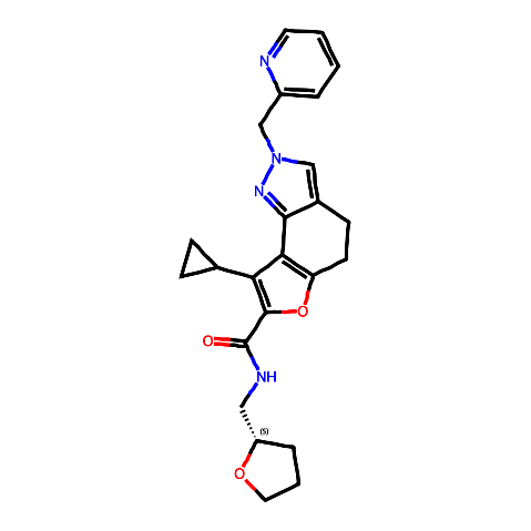 O=C(NC[C@@H]1CCCO1)c1oc2c(c1C1CC1)-c1nn(Cc3ccccn3)cc1CC2